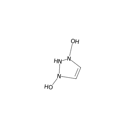 ON1C=CN(O)N1